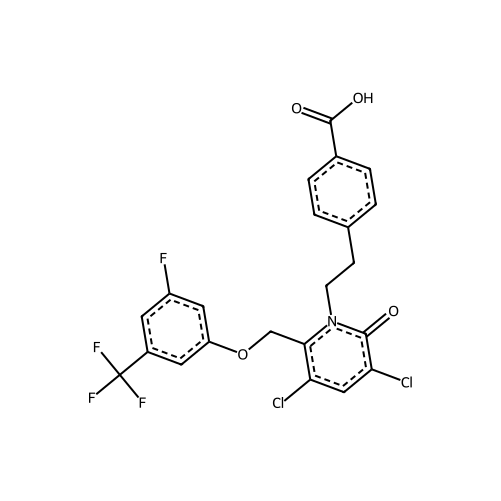 O=C(O)c1ccc(CCn2c(COc3cc(F)cc(C(F)(F)F)c3)c(Cl)cc(Cl)c2=O)cc1